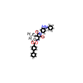 C=CC1=C(/C=C(\C)OC(=O)c2ccc(-c3ccccc3)cc2)C(=O)N(c2ccc(Nc3ccccc3)cc2)C1=O